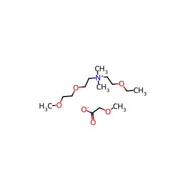 CCOCC[N+](C)(C)CCOCCOC.COCC(=O)[O-]